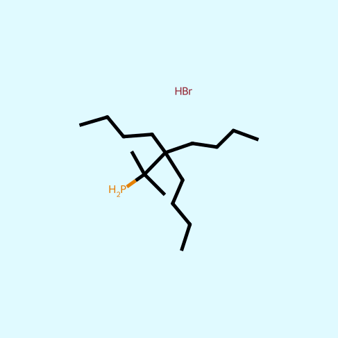 Br.CCCCC(CCCC)(CCCC)C(C)(C)P